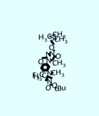 CC1C(=O)N(COCC[Si](C)(C)C)N=C2COc3cc(C(F)(F)F)c(N(C)C4(C)CN(C(=O)OC(C)(C)C)C4)cc3N21